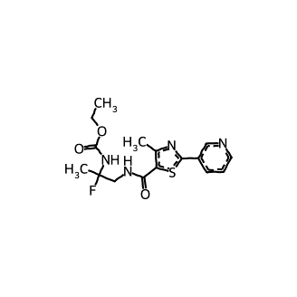 CCOC(=O)NC(C)(F)CNC(=O)c1sc(-c2cccnc2)nc1C